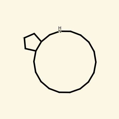 [CH]1CC2CCCCCCCCCCCCCCNCC2C1